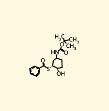 CC(C)(C)OC(=O)NC1CC[C@@H](O)[C@H](SC(=O)c2ccccc2)C1